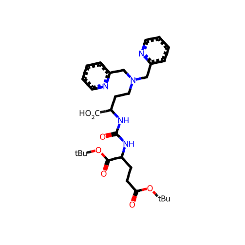 CC(C)(C)OC(=O)CCC(NC(=O)NC(CCN(Cc1ccccn1)Cc1ccccn1)C(=O)O)C(=O)OC(C)(C)C